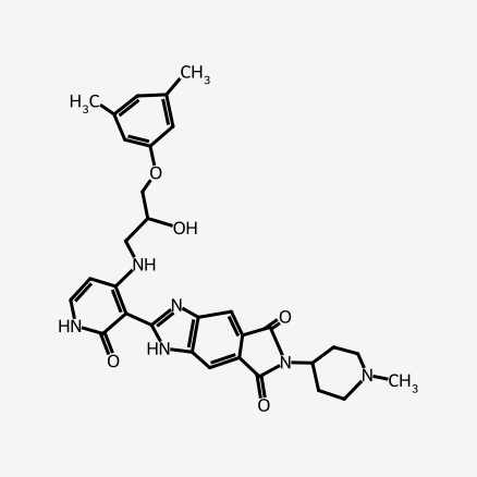 Cc1cc(C)cc(OCC(O)CNc2cc[nH]c(=O)c2-c2nc3cc4c(cc3[nH]2)C(=O)N(C2CCN(C)CC2)C4=O)c1